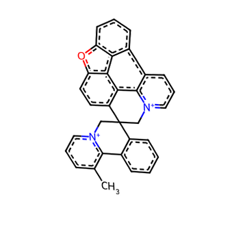 Cc1ccc[n+]2c1-c1ccccc1C1(C2)C[n+]2cccc3c4cccc5oc6ccc1c(c6c54)c32